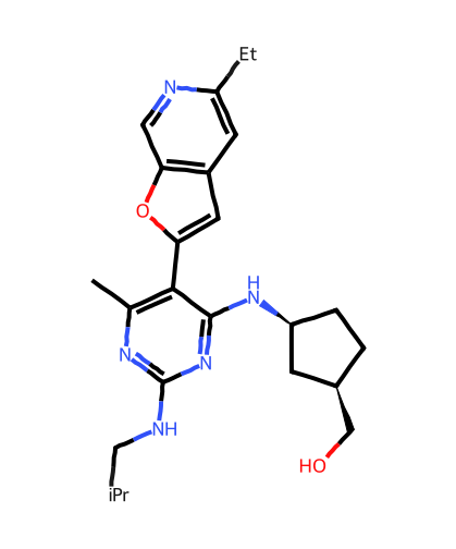 CCc1cc2cc(-c3c(C)nc(NCC(C)C)nc3N[C@H]3CC[C@@H](CO)C3)oc2cn1